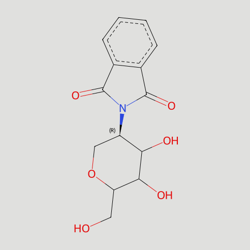 O=C1c2ccccc2C(=O)N1[C@@H]1COC(CO)C(O)C1O